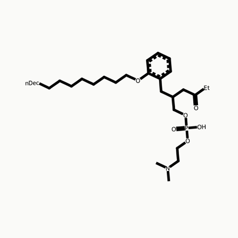 CCCCCCCCCCCCCCCCCCOc1ccccc1CC(COP(=O)(O)OCCN(C)C)CC(=O)CC